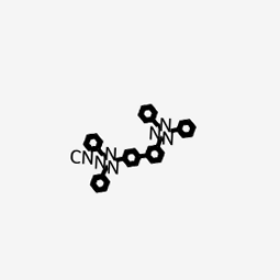 N#Cc1ccccc1-c1nc(-c2ccccc2)nc(-c2ccc(-c3cccc(-c4nc(-c5ccccc5)nc(-c5ccccc5)n4)c3)cc2)n1